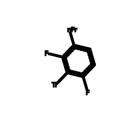 CCCc1ccc(F)[c]([Ti])c1F